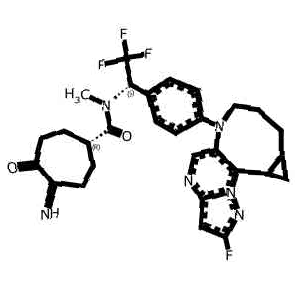 CN(C(=O)[C@@H]1CCC(=N)C(=O)CC1)[C@@H](c1ccc(N2CCCC3CC3c3c2cnc2cc(F)nn32)cc1)C(F)(F)F